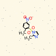 Cc1ccc([N+](=O)[O-])cc1S(=O)(=O)n1ccnc1C